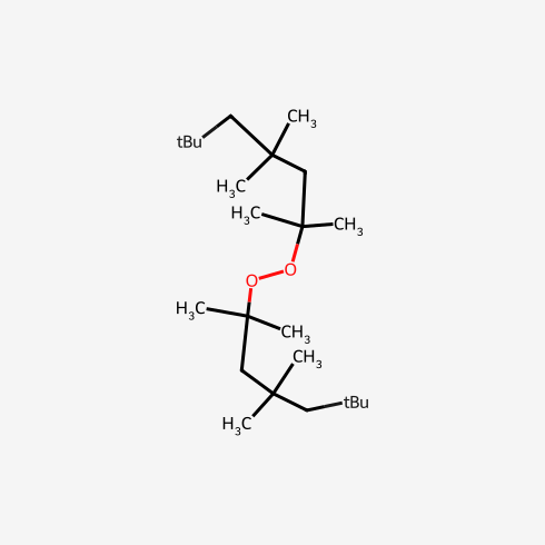 CC(C)(C)CC(C)(C)CC(C)(C)OOC(C)(C)CC(C)(C)CC(C)(C)C